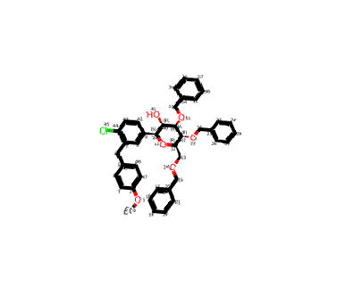 CCOc1ccc(Cc2cc([C@@H]3O[C@H](COCc4ccccc4)[C@@H](OCc4ccccc4)[C@H](OCc4ccccc4)[C@@H]3O)ccc2Cl)cc1